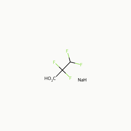 O=C(O)C(F)(F)C(F)F.[NaH]